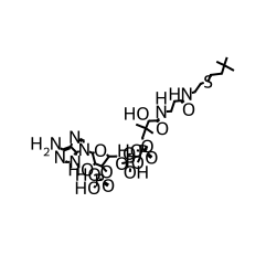 CC(C)(C)CCSCCNC(=O)CCNC(=O)C(O)C(C)(C)COP(=O)(O)OP(=O)(O)OCC1OC(n2cnc3c(N)ncnc32)C(O)C1OP(=O)(O)O